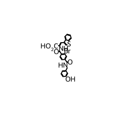 O=C(O)/C(=C/c1csc2ccccc12)NC(=O)c1ccc(C(=O)NCc2cccc(O)c2)cc1Br